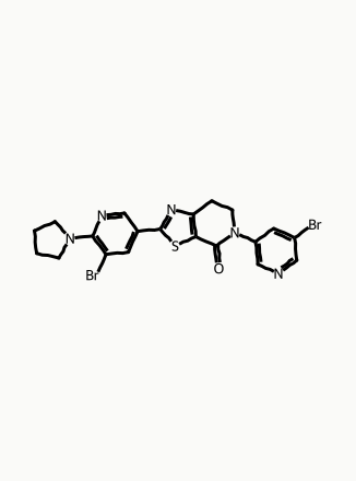 O=C1c2sc(-c3cnc(N4CCCC4)c(Br)c3)nc2CCN1c1cncc(Br)c1